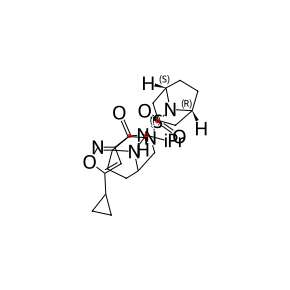 CC(C)CN1C2CCC1CN(S(=O)(=O)N1[C@@H]3CC[C@H]1C[C@@H](NC(=O)c1cc(C4CC4)on1)C3)C2